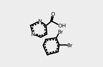 Brc1ccccc1Br.O=C(O)c1ccncn1